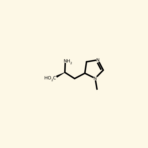 CN1C=NCC1C[C@H](N)C(=O)O